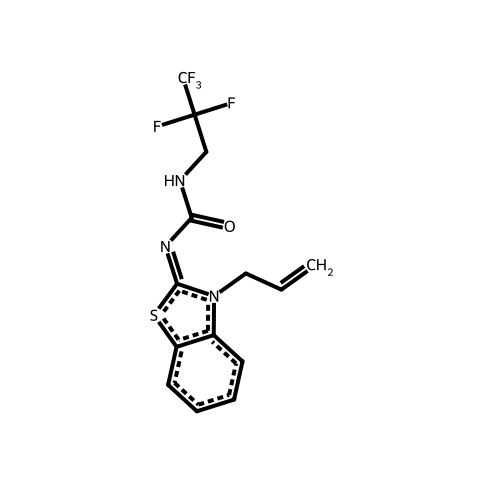 C=CCn1c(=NC(=O)NCC(F)(F)C(F)(F)F)sc2ccccc21